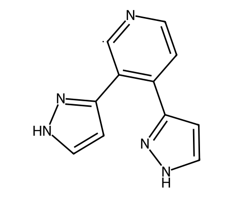 [c]1nccc(-c2cc[nH]n2)c1-c1cc[nH]n1